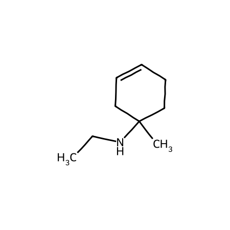 CCNC1(C)CC=CCC1